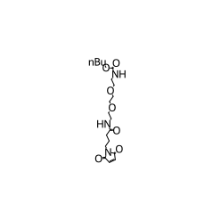 CCCCOC(=O)NCCOCCOCCNC(=O)CCCN1C(=O)C=CC1=O